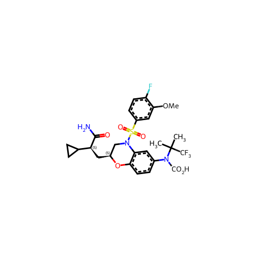 COc1cc(S(=O)(=O)N2C[C@H](C[C@H](C(N)=O)C3CC3)Oc3ccc(N(C(=O)O)C(C)(C)C(F)(F)F)cc32)ccc1F